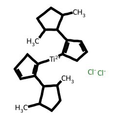 CC1CCC(C)C1C1=[C]([Ti+2][C]2=C(C3C(C)CCC3C)C=CC2)CC=C1.[Cl-].[Cl-]